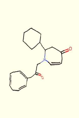 O=C1C=CN(CC(=O)c2ccccc2)C(C2CCCCC2)C1